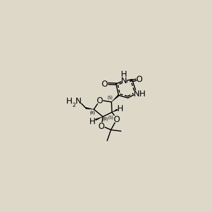 CC1(C)O[C@@H]2[C@H](O1)[C@@H](CN)O[C@H]2c1c[nH]c(=O)[nH]c1=O